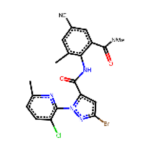 CNC(=O)c1cc(C#N)cc(C)c1NC(=O)c1cc(Br)nn1-c1nc(C)ccc1Cl